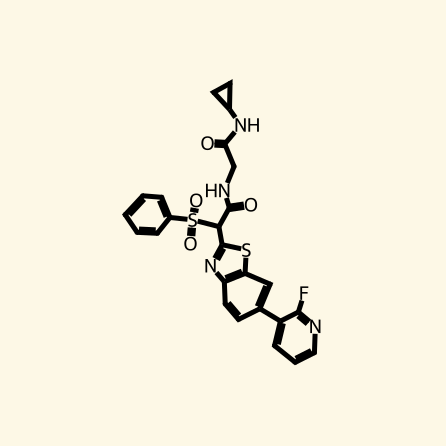 O=C(CNC(=O)C(c1nc2ccc(-c3cccnc3F)cc2s1)S(=O)(=O)c1ccccc1)NC1CC1